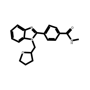 CNC(=O)c1ccc(-c2nc3ccccc3n2CC2CCCO2)cc1